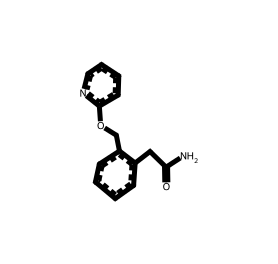 NC(=O)Cc1ccccc1COc1ccccn1